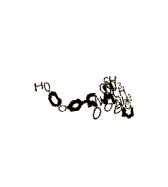 C[C@@](CCn1ccc(-c2ccc(OC3CCC(O)CC3)cc2)cc1=O)(C(=O)NOC1CCCCO1)S(C)(=O)=O